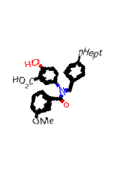 CCCCCCCc1ccc(CN(C(=O)c2cccc(OC)c2)c2ccc(O)c(C(=O)O)c2)cc1